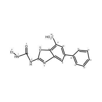 CCNC(=O)Nc1nc2cc(-c3ccccc3)cc(C(=O)O)c2o1